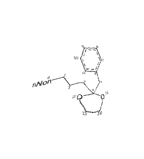 CCCCCCCCCCCCC1(Cc2ccccc2)OCCO1